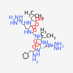 CC[C@H](C)[C@H](NC(=O)[C@H](CCCNC(=N)N)NC(=O)[C@@H](N)Cc1ccccc1)C(=O)NCC(=O)N[C@@H](CCCNC(=N)N)C(=O)N[C@@H](CC(C)C)C(=O)O